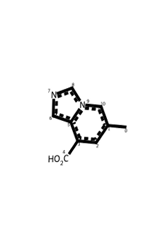 Cc1cc(C(=O)O)c2cncn2c1